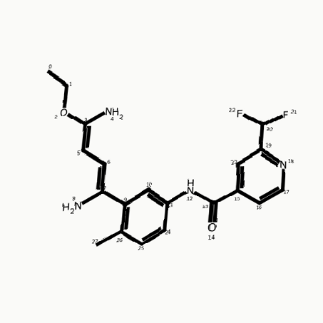 CCO/C(N)=C/C=C(\N)c1cc(NC(=O)c2ccnc(C(F)F)c2)ccc1C